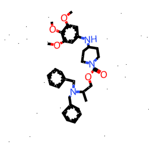 COc1cc(NC2CCN(C(=O)OCC(C)N(Cc3ccccc3)Cc3ccccc3)CC2)cc(OC)c1OC